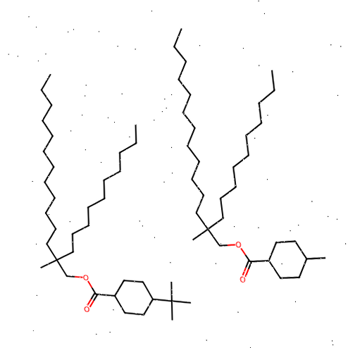 CCCCCCCCCCCCC(C)(CCCCCCCCCC)COC(=O)C1CCC(C(C)(C)C)CC1.CCCCCCCCCCCCC(C)(CCCCCCCCCC)COC(=O)C1CCC(C)CC1